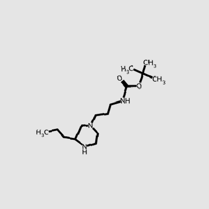 CCCC1CN(CCCNC(=O)OC(C)(C)C)CCN1